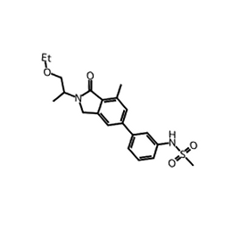 CCOCC(C)N1Cc2cc(-c3cccc(NS(C)(=O)=O)c3)cc(C)c2C1=O